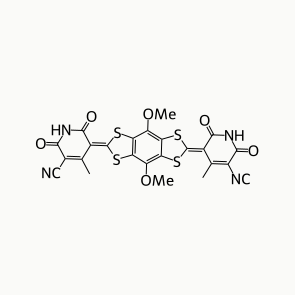 [C-]#[N+]C1=C(C)C(=C2Sc3c(OC)c4c(c(OC)c3S2)SC(=C2C(=O)NC(=O)C(C#N)=C2C)S4)C(=O)NC1=O